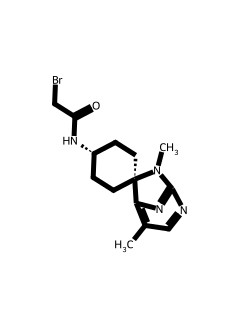 Cc1cnc2nc1[C@]1(CC[C@@H](NC(=O)CBr)CC1)N2C